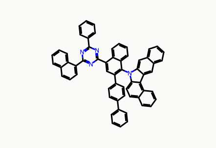 c1ccc(-c2ccc(-c3cc(-c4nc(-c5ccccc5)nc(-c5cccc6ccccc56)n4)c4ccccc4c3-n3c4cc5ccccc5cc4c4c5ccccc5ccc43)cc2)cc1